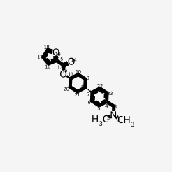 CN(C)Cc1ccc([C@H]2CC[C@H](OC(=O)c3ccco3)CC2)cc1